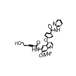 COc1cc2nccc(Oc3ccc(C(=O)Nc4ccccn4)cc3)c2cc1NC(=O)C#CCCO